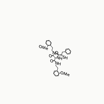 COc1ccccc1CCNC(=O)C(NC(=O)[C@@H](S)Cc1ccccc1)C(=O)NCCc1ccccc1OC